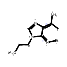 CC/N=C1\C(=C(/C)N)N=CN1CCOC